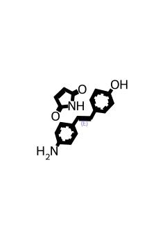 Nc1ccc(/C=C/c2ccc(O)cc2)cc1.O=C1C=CC(=O)N1